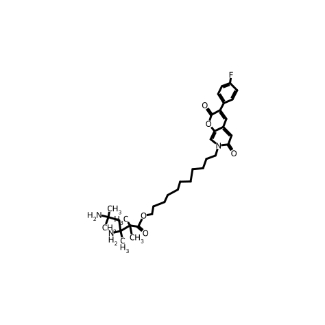 CC(C)(N)CC(C)(N)C(C)(C)C(=O)OCCCCCCCCCCCn1cc2oc(=O)c(-c3ccc(F)cc3)cc2cc1=O